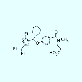 CCc1sc(C(CC)CC)cc1C(Oc1ccc(C(=O)N(C)CCC(=O)O)cc1)C1CCCCC1